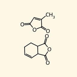 CC1=CC(=O)OC1=O.O=C1OC(=O)C2CCC=CC12